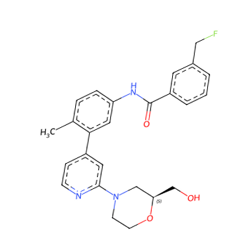 Cc1ccc(NC(=O)c2cccc(CF)c2)cc1-c1ccnc(N2CCO[C@H](CO)C2)c1